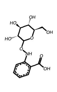 O=C(O)c1ccccc1NOC1O[C@H](CO)[C@@H](O)[C@H](O)[C@H]1O